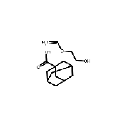 C=COCCO.O=C(O)C12CC3CC(CC(C3)C1)C2